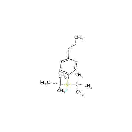 CCCc1ccc(S(F)(C(C)(C)C)C(C)(C)C)cc1